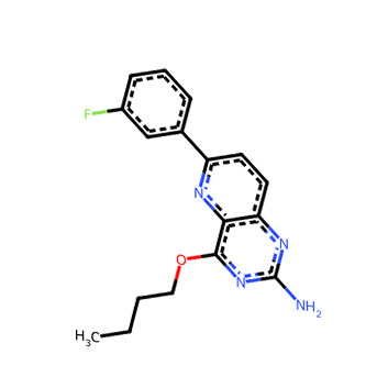 CCCCOc1nc(N)nc2ccc(-c3cccc(F)c3)nc12